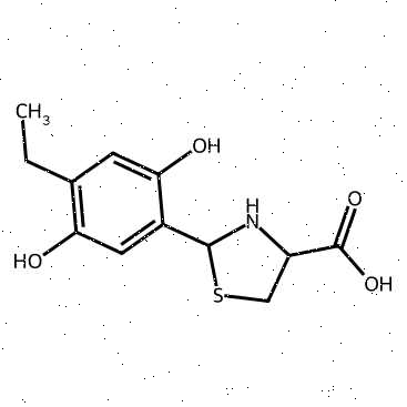 CCc1cc(O)c(C2NC(C(=O)O)CS2)cc1O